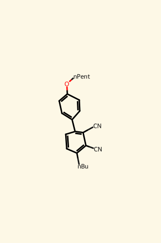 CCCCCOc1ccc(-c2ccc(CCCC)c(C#N)c2C#N)cc1